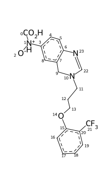 O=C(O)[NH+]([O-])c1ccc2c(c1)CN(CCCOc1ccccc1C(F)(F)F)C=N2